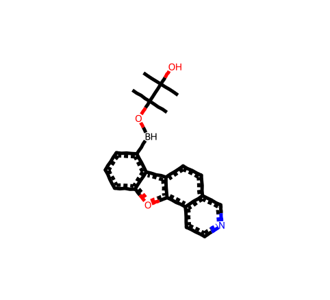 CC(C)(O)C(C)(C)OBc1cccc2oc3c4ccncc4ccc3c12